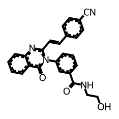 N#Cc1ccc(/C=C/c2nc3ccccc3c(=O)n2-c2cccc(C(=O)NCCO)c2)cc1